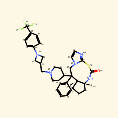 O=C1N[C@@H]2CCC[C@H]2C(c2ccccc2)(C2CCN(CC3CN(c4ccc(C(F)(F)F)cc4)C3)CC2)Cn2ccnc2S1